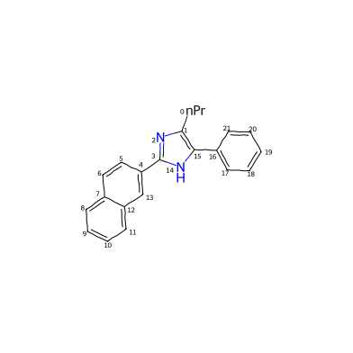 CCCc1nc(-c2ccc3ccccc3c2)[nH]c1-c1ccccc1